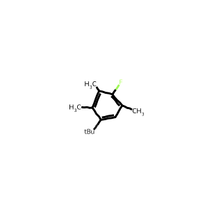 Cc1cc(C(C)(C)C)c(C)c(C)c1F